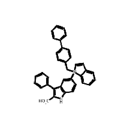 O=C(O)c1[nH]c2ccc([N+]3(Cc4ccc(-c5ccccc5)cc4)C=Cc4ccccc43)cc2c1-c1ccccc1